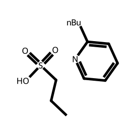 CCCCc1ccccn1.CCCS(=O)(=O)O